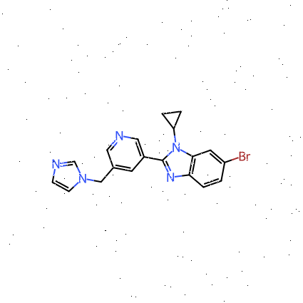 Brc1ccc2nc(-c3cncc(Cn4ccnc4)c3)n(C3CC3)c2c1